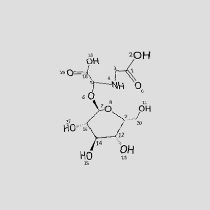 O=C(O)CNC(O[C@H]1O[C@H](CO)[C@H](O)[C@@H](O)[C@@H]1O)C(=O)O